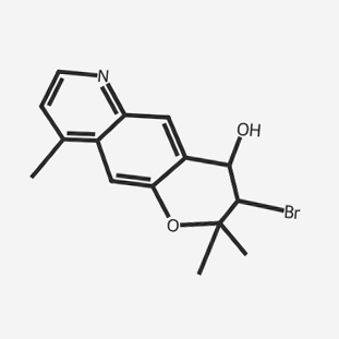 Cc1ccnc2cc3c(cc12)OC(C)(C)C(Br)C3O